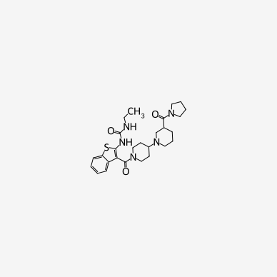 CCNC(=O)Nc1sc2ccccc2c1C(=O)N1CCC(N2CCCC(C(=O)N3CCCC3)C2)CC1